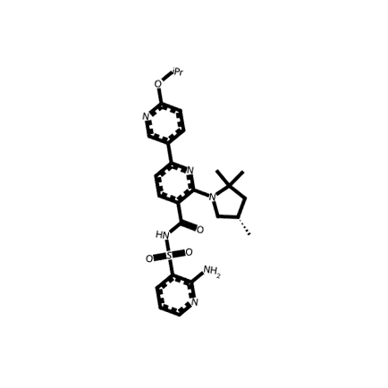 CC(C)Oc1ccc(-c2ccc(C(=O)NS(=O)(=O)c3cccnc3N)c(N3C[C@@H](C)CC3(C)C)n2)cn1